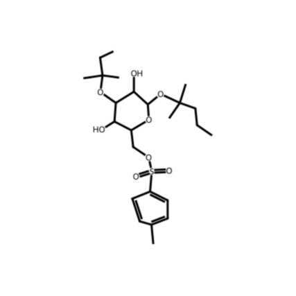 CCCC(C)(C)OC1OC(COS(=O)(=O)c2ccc(C)cc2)C(O)C(OC(C)(C)CC)C1O